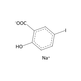 O=C([O-])c1cc(I)ccc1O.[Na+]